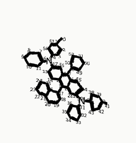 Cc1ccc(N(C2=CCCC=C2)c2ccc3c(-c4cccc5ccccc45)c4cc(N(c5ccccc5)c5ccc(C)cc5)ccc4c(-c4ccccc4)c3c2)cc1